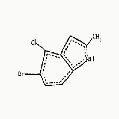 Cc1[c]c2c(Cl)c(Br)ccc2[nH]1